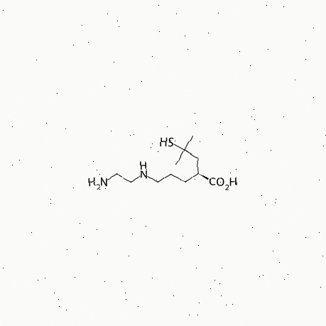 CC(C)(S)C[C@H](CCCNCCN)C(=O)O